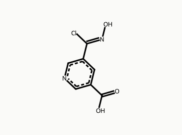 O=C(O)c1cncc(C(Cl)=NO)c1